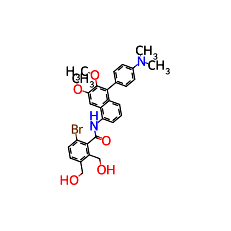 COc1cc2c(NC(=O)c3c(Br)ccc(CO)c3CO)cccc2c(-c2ccc(N(C)C)cc2)c1OC